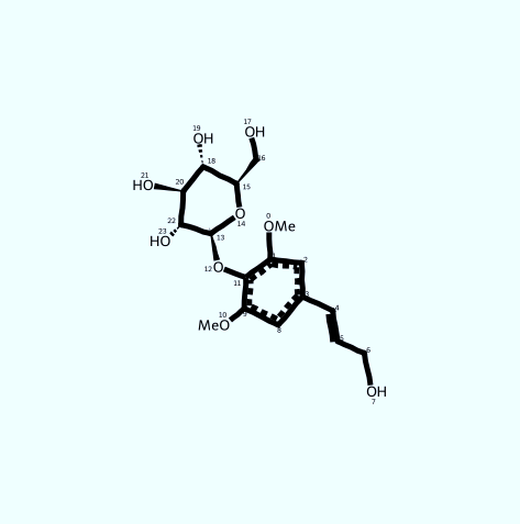 COc1cc(C=CCO)cc(OC)c1O[C@@H]1O[C@H](CO)[C@@H](O)[C@H](O)[C@H]1O